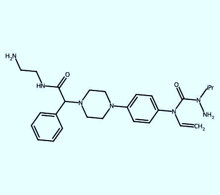 C=CN(C(=O)N(N)C(C)C)c1ccc(N2CCN(C(C(=O)NCCN)c3ccccc3)CC2)cc1